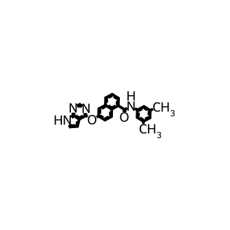 Cc1cc(C)cc(NC(=O)c2cccc3cc(Oc4ncnc5[nH]ccc45)ccc23)c1